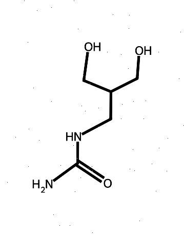 NC(=O)NCC(CO)CO